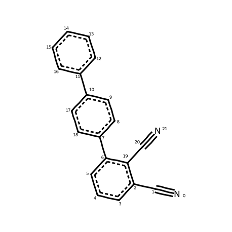 N#Cc1cccc(-c2ccc(-c3ccccc3)cc2)c1C#N